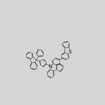 c1ccc(-c2ccccc2N(c2ccc(-c3ccc4sc5ccccc5c4c3)cc2)c2ccc(C3(c4ccccc4)c4ccccc4-c4ccccc43)cc2)cc1